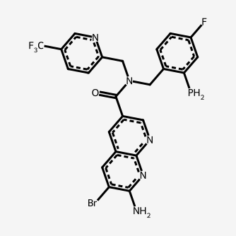 Nc1nc2ncc(C(=O)N(Cc3ccc(C(F)(F)F)cn3)Cc3ccc(F)cc3P)cc2cc1Br